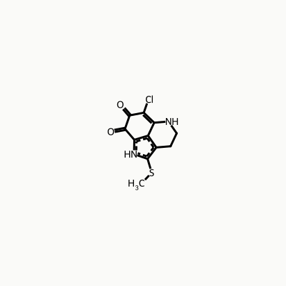 CSc1[nH]c2c3c1CCNC3=C(Cl)C(=O)C2=O